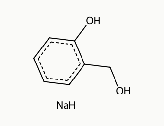 OCc1ccccc1O.[NaH]